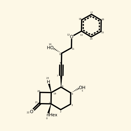 CCCCCC[C@]12CC[C@@H](O)[C@H](C#C[C@H](O)COc3ccccc3)[C@H]1CC2=O